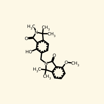 COc1cccc2c1C(=O)N(Cc1ccc3c(c1O)C(=O)N(C)C3(C)C)C2(C)C